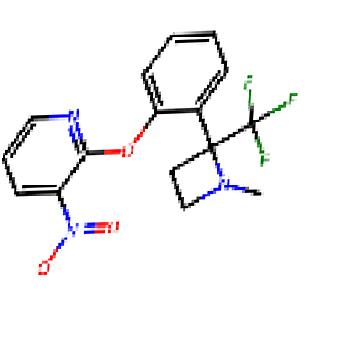 CN1CCC1(c1ccccc1Oc1ncccc1[N+](=O)[O-])C(F)(F)F